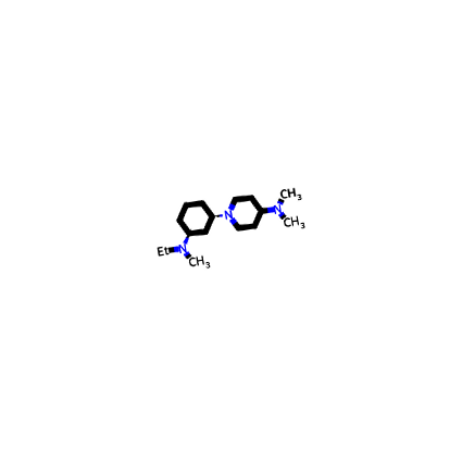 CCN(C)[C@H]1CCC[C@H](N2CCC(N(C)C)CC2)C1